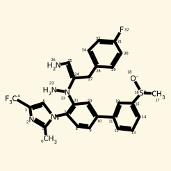 Cc1nc(C(F)(F)F)cn1-c1ccc(-c2cccc([S+](C)[O-])c2)cc1N(N)/C(=C\N)Cc1ccc(F)cc1